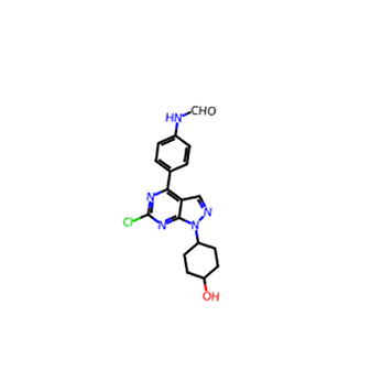 O=CNc1ccc(-c2nc(Cl)nc3c2cnn3C2CCC(O)CC2)cc1